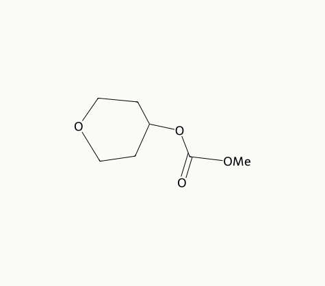 [CH2]OC(=O)OC1CCOCC1